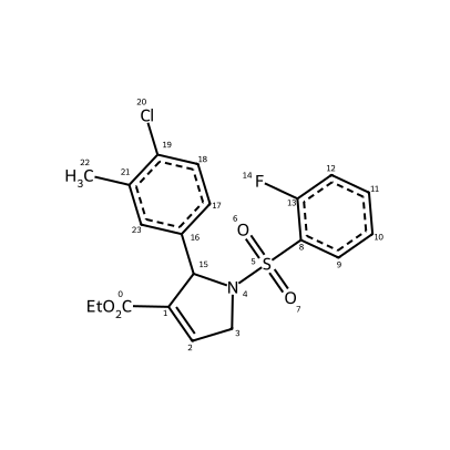 CCOC(=O)C1=CCN(S(=O)(=O)c2ccccc2F)C1c1ccc(Cl)c(C)c1